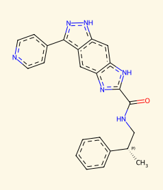 C[C@@H](CNC(=O)c1nc2cc3c(-c4ccncc4)n[nH]c3cc2[nH]1)c1ccccc1